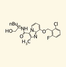 CCCC[C@H](CO)NC(=O)c1c(C)nc2c(OCc3c(F)cccc3Cl)cccn12